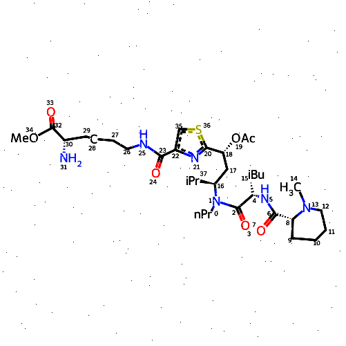 CCCN(C(=O)[C@@H](NC(=O)[C@H]1CCCCN1C)[C@@H](C)CC)[C@H](C[C@@H](OC(C)=O)c1nc(C(=O)NCCCC[C@H](N)C(=O)OC)cs1)C(C)C